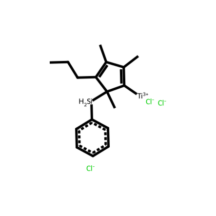 CCCC1=C(C)C(C)=[C]([Ti+3])C1(C)[SiH2]c1ccccc1.[Cl-].[Cl-].[Cl-]